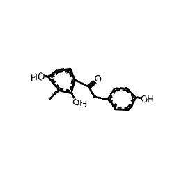 Cc1c(O)ccc(C(=O)Cc2ccc(O)cc2)c1O